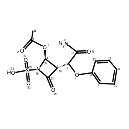 CC(=O)O[C@H]1[C@H](C(Oc2ccccc2)C(N)=O)C(=O)N1S(=O)(=O)O